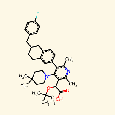 Cc1nc(C)c(C(OC(C)(C)C)C(=O)O)c(N2CCC(C)(C)CC2)c1-c1ccc2c(c1)CCC(Cc1ccc(F)cc1)C2